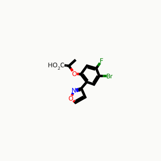 CC(Oc1cc(F)c(Br)cc1-c1ccon1)C(=O)O